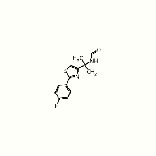 CC(C)(NC=O)c1csc(-c2ccc(F)cc2)n1